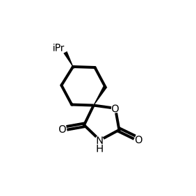 CC(C)[C@H]1CC[C@@]2(CC1)OC(=O)NC2=O